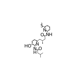 CSc1cccc(NC(=O)C[C@@H](C)Cc2ccc(O)c(NC(=O)CC(C)C)n2)n1